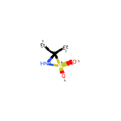 CCC1(CC)NS1(=O)=O